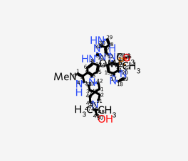 CN/C=C(\C=N)c1cc(Nc2nc(Nc3ccc4nccnc4c3P(C)(C)=O)c3cc[nH]c3n2)c(OC)cc1N1CCC2(CC1)CCN(C(C)(C)CO)CC2